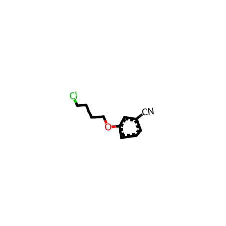 N#Cc1cccc(OCCCCCl)c1